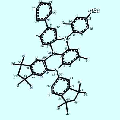 Cc1cc2c3c(c1)N(c1ccc(C(C)(C)C)cc1C)c1cc(-c4ccccc4)ccc1B3c1cc3c(cc1N2c1ccc2c(c1)C(C)(C)CC2(C)C)C(C)(C)CC3(C)C